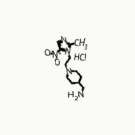 Cc1ncc([N+](=O)[O-])n1CCN1CCC(CN)CC1.Cl